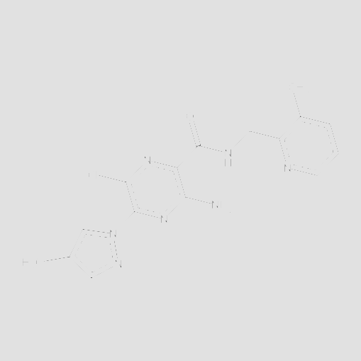 Cc1cnn(-c2nc(N)c(C(=O)NCc3ncccc3C)nc2Cl)c1